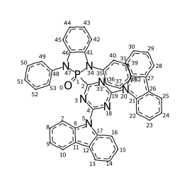 O=P1(c2nc(-n3c4ccccc4c4ccccc43)nc(-n3c4ccccc4c4ccccc43)n2)N(c2ccccc2)c2ccccc2N1c1ccccc1